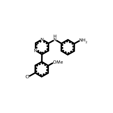 COc1ccc(Cl)cc1-c1cc(Nc2cccc(N)c2)ncn1